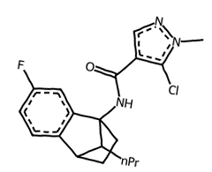 CCCC1C2CCC1(NC(=O)c1cnn(C)c1Cl)c1cc(F)ccc12